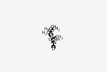 CCc1[nH]c2nc(C3=CCOCC3)nn2c(=O)c1N1CC[C@@H](C)N(C(=O)OC(C)(C)C)CC1